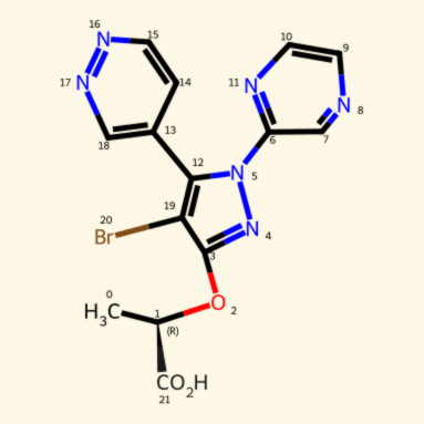 C[C@@H](Oc1nn(-c2cnccn2)c(-c2ccnnc2)c1Br)C(=O)O